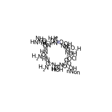 C/C=C1\NC(=O)[C@H](Cc2ccccc2)NC(=O)[C@H](CCCNC(=N)N)NC(=O)[C@@H](CCN)NC(=O)C(CCN)NC(=O)[C@@H](CO)NC(=O)C(C(=O)CC(O)CCCCCCCCC)OC(=O)C(C(O)CCl)NC(=O)[C@H](C(O)C(=O)O)NC1=O